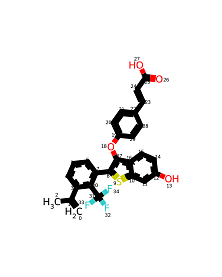 C=C(C)c1cccc(-c2sc3cc(O)ccc3c2OC2=C=C=C(/C=C/C(=O)O)C=C2)c1C(F)(F)F